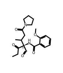 CCC(=O)[C@]([C]=O)(NC(=O)c1ccccc1OC)C(C)CC(=O)N1CCCC1